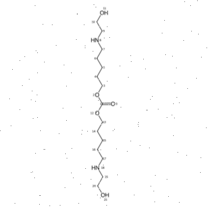 O=C(OCCCCCNCCO)OCCCCCNCCO